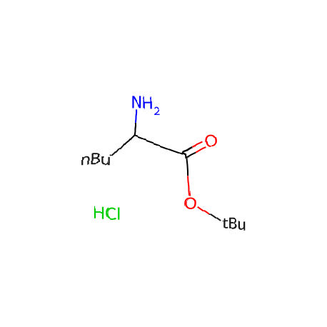 CCCCC(N)C(=O)OC(C)(C)C.Cl